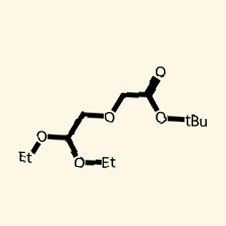 CCOC(COCC(=O)OC(C)(C)C)OCC